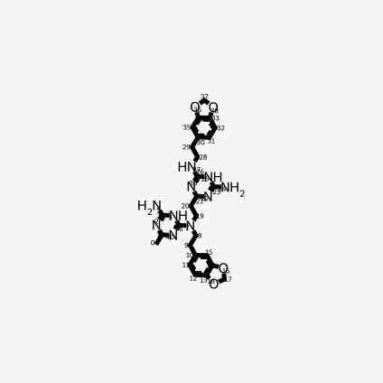 CC1N=C(N)NC(N(CCc2ccc3c(c2)OCO3)CCC2N=C(N)NC(NCCc3ccc4c(c3)OCO4)=N2)=N1